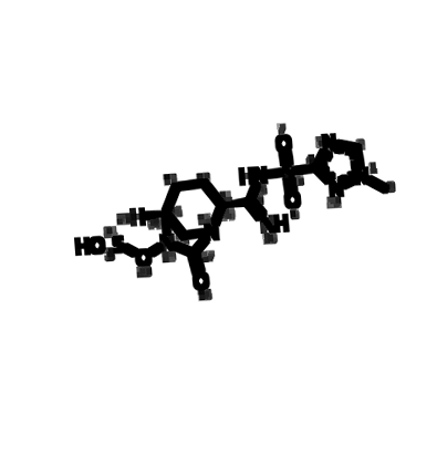 Cn1cnc(S(=O)(=O)NC(=N)[C@@H]2CC[C@@H]3CN2C(=O)N3OS(=O)(=O)O)n1